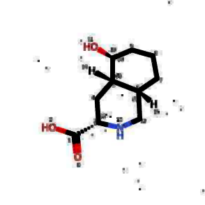 O=C(O)[C@@H]1C[C@H]2[C@H](CCC[C@@H]2O)CN1